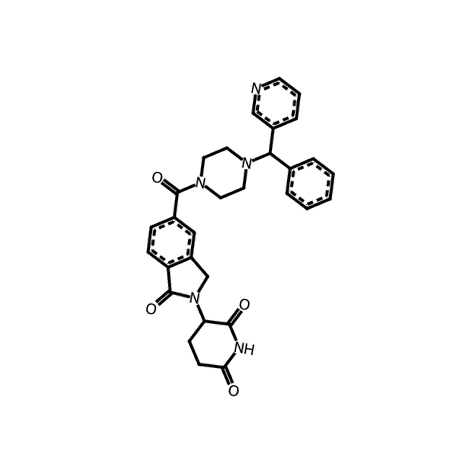 O=C1CCC(N2Cc3cc(C(=O)N4CCN(C(c5ccccc5)c5cccnc5)CC4)ccc3C2=O)C(=O)N1